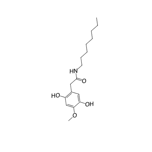 CCCCCCCCNC(=O)Cc1cc(O)c(OC)cc1O